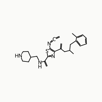 C=C=Nc1sc(C(=C)NCC2CCNCC2)nc1C(=C)CC(C)Cc1ccccc1C